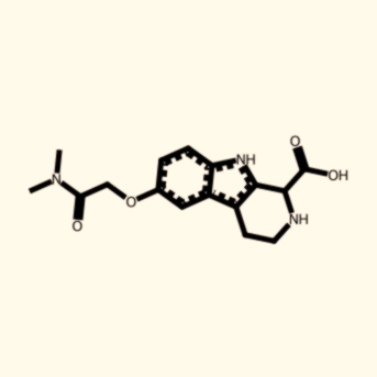 CN(C)C(=O)COc1ccc2[nH]c3c(c2c1)CCNC3C(=O)O